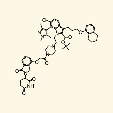 Cc1nn(C)c(C)c1-c1c(Cl)ccc2c(CCCOc3cccc4c3CCCC4)c(C(=O)OC(C)(C)C)n(CCN3CCN(C(=O)COc4cccc5c4CN(C4CCC(=O)NC4=O)C5=O)CC3)c12